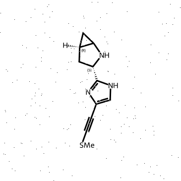 CSC#Cc1c[nH]c([C@@H]2C[C@H]3CC3N2)n1